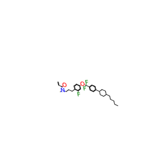 C=CC(=O)N(C)CCCc1ccc(OC(F)(F)c2ccc(C3CCC(CCCCC)CC3)cc2)cc1F